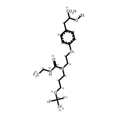 CCOC(Cc1ccc(OCCN(CCCOC(F)(F)C(F)(F)F)C(=O)NCC(F)(F)F)cc1)C(=O)O